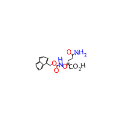 NC(=O)CC[C@@H](ONC(=O)OCc1cccc2ccccc12)C(=O)O